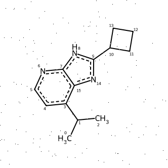 CC(C)c1ccnc2[nH]c(C3CCC3)nc12